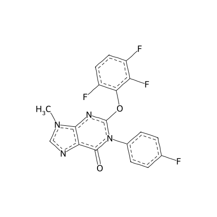 Cn1cnc2c(=O)n(-c3ccc(F)cc3)c(Oc3c(F)ccc(F)c3F)nc21